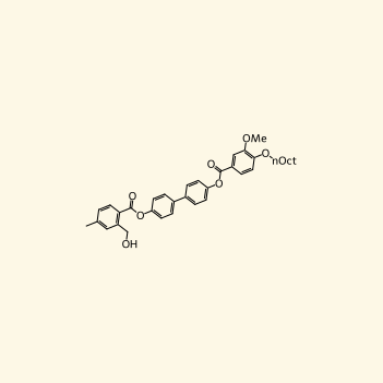 CCCCCCCCOc1ccc(C(=O)Oc2ccc(-c3ccc(OC(=O)c4ccc(C)cc4CO)cc3)cc2)cc1OC